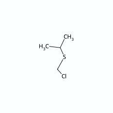 CC(C)SCCl